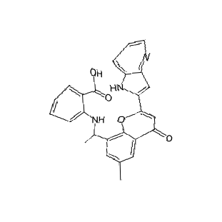 Cc1cc(C(C)Nc2ccccc2C(=O)O)c2oc(-c3cc4ncccc4[nH]3)cc(=O)c2c1